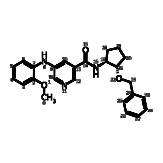 COc1ccccc1Nc1cncc(C(=O)N[C@H]2CCC[C@@H]2OCc2ccccc2)c1